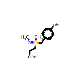 CCCCCCCCCCCCP(C)(Cc1ccc(CCC)cc1)=NC